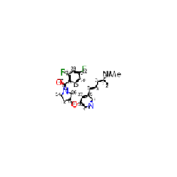 CN[C@@H](C)C/C=C/c1cncc(O[C@@H]2CCN(C(=O)c3ccc(F)cc3F)C2)c1